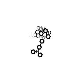 CC1(C)CCC(C)(C)c2cc(N(c3ccc(-c4ccc(N(c5ccccc5)c5ccccc5)cc4)cc3)c3cccc4oc5ccccc5c34)ccc21